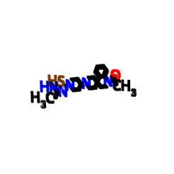 CCC(=N)/N=C(\S)N1CCC(N2CCC3(CCN(C(C)=O)c4ccccc43)CC2)CC1